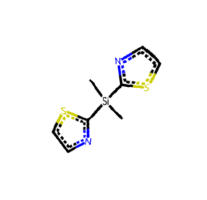 C[Si](C)(c1nccs1)c1nccs1